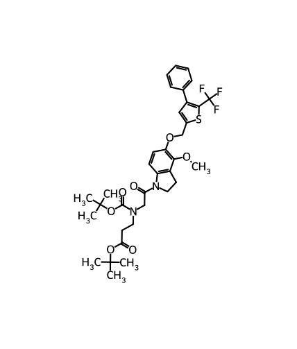 COc1c(OCc2cc(-c3ccccc3)c(C(F)(F)F)s2)ccc2c1CCN2C(=O)CN(CCC(=O)OC(C)(C)C)C(=O)OC(C)(C)C